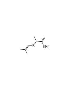 C=C(CCC)C(C)SC=C(C)C